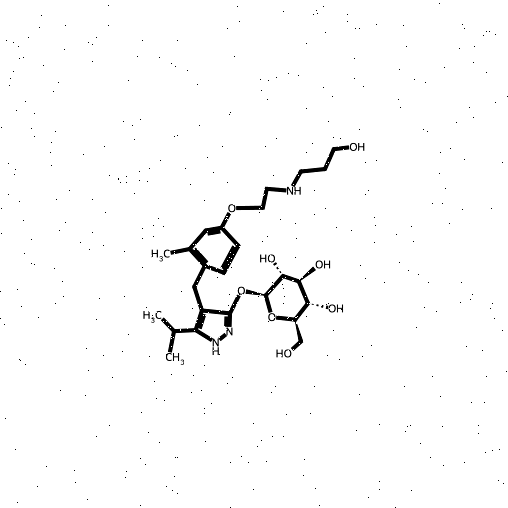 Cc1cc(OCCNCCCO)ccc1Cc1c(O[C@@H]2O[C@H](CO)[C@@H](O)[C@H](O)[C@H]2O)n[nH]c1C(C)C